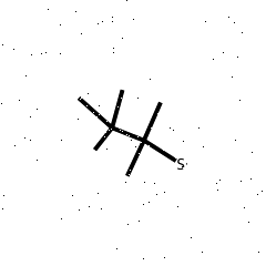 CC(C)(C)C(C)(C)[S]